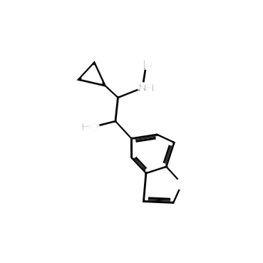 CCNC(C1CC1)C(O)c1ccc2sccc2c1